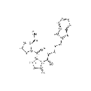 O=C(CCCCc1cc2ccccc2o1)C1C(=S)CN[C@@H]1C(=O)N1CCC[C@H]1CO